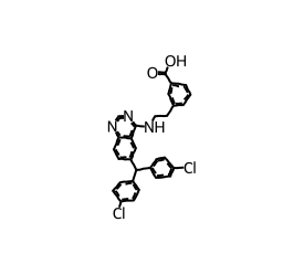 O=C(O)c1cccc(CCNc2ncnc3ccc(C(c4ccc(Cl)cc4)c4ccc(Cl)cc4)cc23)c1